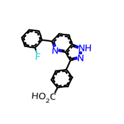 O=C(O)c1ccc(-c2n[nH]c3ccc(-c4ccccc4F)nc23)cc1